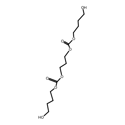 O=C(OCCCCO)OCCCOC(=O)OCCCCO